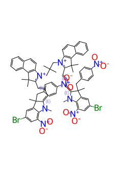 CN1/C(=C/C=C/C2=[N+](CC(C)(C)C[N+]3=C(/C=C/C=C4/N(C)c5c([N+](=O)[O-])cc(Br)cc5C4(C)Cc4ccc([N+](=O)[O-])cc4)C(C)(C)c4c3ccc3ccccc43)c3ccc4ccccc4c3C2(C)C)C(C)(Cc2ccc([N+](=O)[O-])cc2)c2cc(Br)cc([N+](=O)[O-])c21